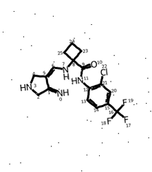 N=C1CNC/C1=C/NC1(C(=O)Nc2ccc(C(F)(F)F)cc2Cl)CCC1